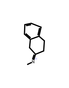 C/N=C1/CCc2ccccc2C1